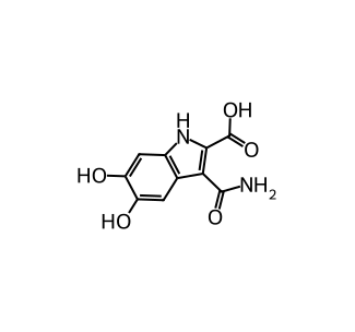 NC(=O)c1c(C(=O)O)[nH]c2cc(O)c(O)cc12